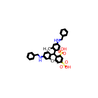 Cc1cc(NCc2ccccc2)ccc1C(c1ccc(NCc2ccccc2)cc1C)c1ccc(S(=O)(=O)O)cc1S(=O)(=O)O